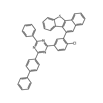 Clc1ccc(-c2nc(-c3ccccc3)nc(-c3ccc(-c4ccccc4)cc3)n2)cc1-c1cc2ccccc2c2sc3ccccc3c12